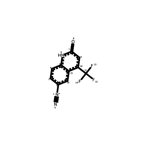 N#[N+]c1ccc2[nH]c(=O)cc(C(F)(F)F)c2c1